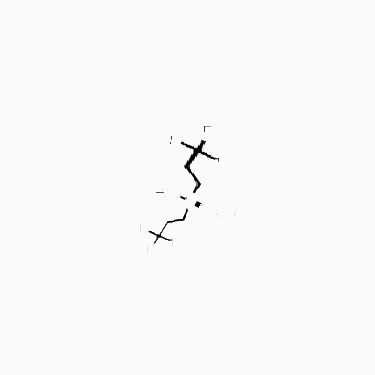 O=P(O)(CCC(F)(F)F)CCC(F)(F)F.[AlH3]